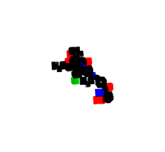 COc1cc2c(cc1OC(C)C)[C@H](c1ccc(Cl)cc1)N(c1ccc(N(C)CC3CCC(C(=O)N[C@@H]4CCC[C@@H]4O)CC3)cc1)C(=O)C2